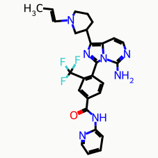 CC=CN1CCCC(c2nc(-c3ccc(C(=O)Nc4ccccn4)cc3C(F)(F)F)n3c(N)nccc23)C1